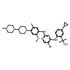 COc1cc(N2CCC(N3CCN(C)CC3)CC2)c(C)cc1Nc1ncc(Br)c(Nc2ccc(C3CC3)cc2C(C)(C)O)n1